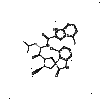 CC(C)C[C@H](NC(=O)c1cc2c(F)cccc2[nH]1)C(=O)N1C[C@]2(C[C@H]1C#N)C(=O)Nc1cccc(Cl)c12